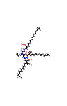 CCCCCCCCCCCCC(O)CNCCN(C)CCN(CC(O)C(C)CCCCCCCCCC)CC(O)C(C)CCCCCCCCCC